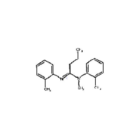 CCC/C(=N\c1ccccc1C)N(C)c1ccccc1C